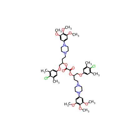 COc1cc(N2CCN(CCC(COc3cc(C)c(Cl)c(C)c3)OC(=O)C(=O)OC(CCN3CCN(c4cc(OC)c(OC)c(OC)c4)CC3)COc3cc(C)c(Cl)c(C)c3)CC2)cc(OC)c1OC